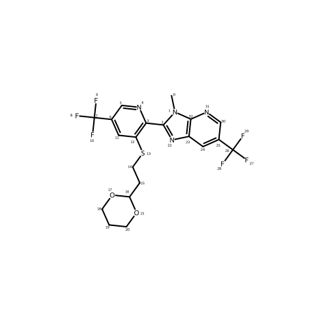 Cn1c(-c2ncc(C(F)(F)F)cc2SCCC2OCCCO2)nc2cc(C(F)(F)F)cnc21